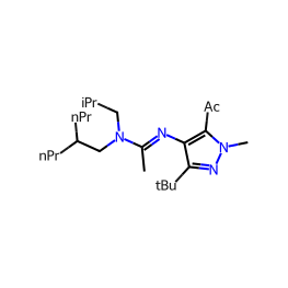 CCCC(CCC)CN(CC(C)C)/C(C)=N/c1c(C(C)(C)C)nn(C)c1C(C)=O